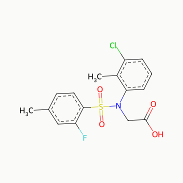 Cc1ccc(S(=O)(=O)N(CC(=O)O)c2cccc(Cl)c2C)c(F)c1